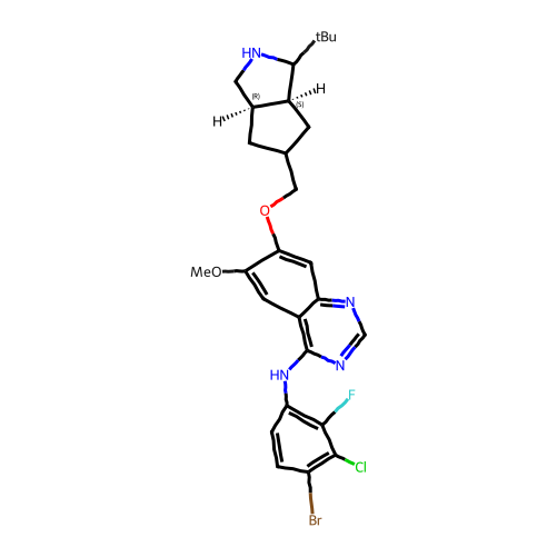 COc1cc2c(Nc3ccc(Br)c(Cl)c3F)ncnc2cc1OCC1C[C@H]2CNC(C(C)(C)C)[C@H]2C1